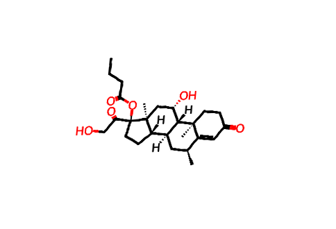 CCCC(=O)O[C@]1(C(=O)CO)CC[C@H]2[C@@H]3C[C@H](C)C4=CC(=O)CC[C@]4(C)[C@H]3[C@@H](O)C[C@@]21C